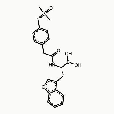 CS(C)(=O)=Nc1ccc(CC(=O)N[C@@H](Cc2coc3ccccc23)B(O)O)cc1